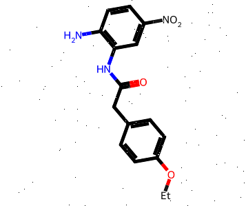 CCOc1ccc(CC(=O)Nc2cc([N+](=O)[O-])ccc2N)cc1